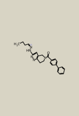 CCC/C=N\Nc1cc2c(nn1)CCN(C(=O)c1ccc(-c3ccccc3)cc1)C2